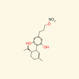 C=C(C)[C@@H]1CCC(C)=CC1c1c(O)cc(CCCO[N+](=O)[O-])cc1O